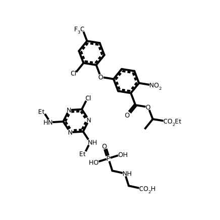 CCNc1nc(Cl)nc(NCC)n1.CCOC(=O)C(C)OC(=O)c1cc(Oc2ccc(C(F)(F)F)cc2Cl)ccc1[N+](=O)[O-].O=C(O)CNCP(=O)(O)O